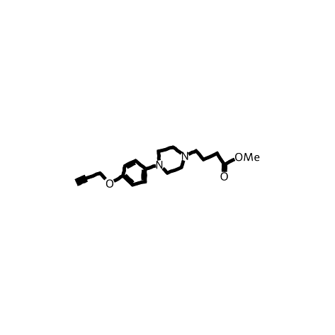 C#CCOc1ccc(N2CCN(CCCC(=O)OC)CC2)cc1